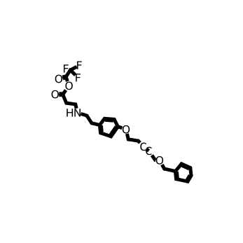 O=C(CCNCCc1ccc(OCCCCCOCc2ccccc2)cc1)OC(=O)C(F)(F)F